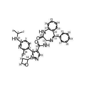 CC(C)Nc1ccc(-c2c(C(=O)N[C@H]3N=C(c4ccccc4)c4ccccc4NC3=O)cnn2C2CCO2)c(F)n1